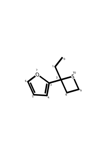 CCC1(c2ccco2)CCS1